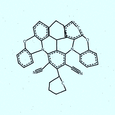 N#Cc1c(C2CCCCC2)c(C#N)c(N2c3ccccc3Oc3ccccc32)c(C2CCCCC2)c1N1c2ccccc2Oc2ccccc21